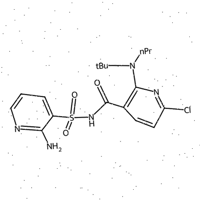 CCCN(c1nc(Cl)ccc1C(=O)NS(=O)(=O)c1cccnc1N)C(C)(C)C